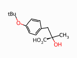 CC(C)(C)Oc1ccc(C[C@](C)(O)C(=O)O)cc1